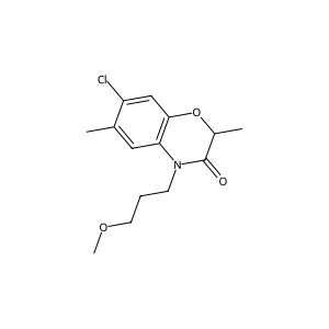 COCCCN1C(=O)C(C)Oc2cc(Cl)c(C)cc21